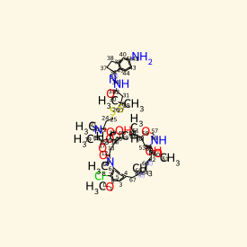 COc1cc2cc(c1Cl)N(C)C(=O)C[C@H](OC(=O)[C@H](C)N(C)C(=O)CCSSC(C)(C)CC(=O)N/N=C1/CCc3cc(N)ccc31)C(C)(O)C[C@H](C)[C@@H]1C[C@@](O)(NCO1)[C@H](OC)/C=C/C=C(\C)C2